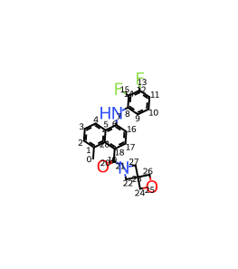 Cc1cccc2c(Nc3cccc(F)c3F)ccc(C(=O)N3CC4(COC4)C3)c12